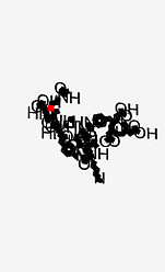 CSCC[C@H](NC(=O)Cc1ccc(CNC(=O)[C@H](CCCCN(C)C)NC(=O)[C@@H](NC(=O)[C@H](CCSC)NC(=S)Nc2ccc(CC3CN(CC(=O)O)CCN(CC(=O)O)CCN3CC(=O)O)cc2)C(C)C)cc1)C(=O)N[C@H](C(=O)N[C@@H](CCCCNC(C)=O)C(=O)O)C(C)C